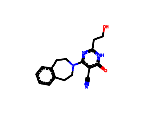 N#Cc1c(N2CCc3ccccc3CC2)nc(CCO)[nH]c1=O